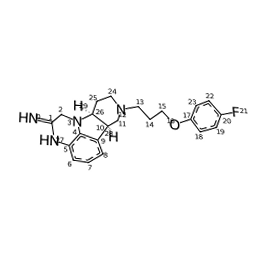 N=C1CN2c3c(cccc3[C@@H]3CN(CCCOc4ccc(F)cc4)CC[C@@H]32)N1